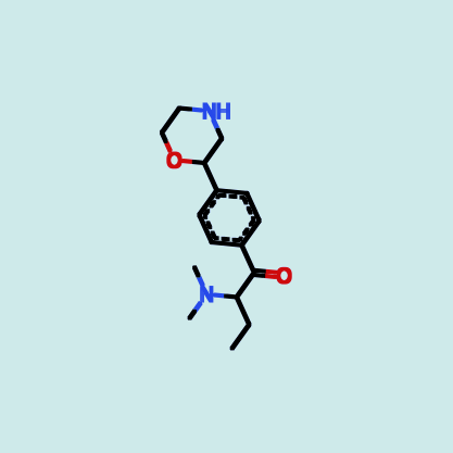 CCC(C(=O)c1ccc(C2CNCCO2)cc1)N(C)C